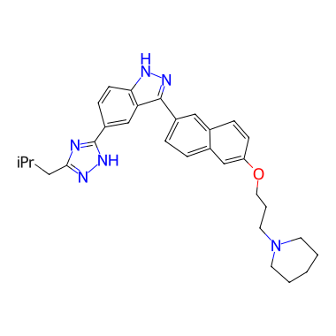 CC(C)Cc1n[nH]c(-c2ccc3[nH]nc(-c4ccc5cc(OCCCN6CCCCC6)ccc5c4)c3c2)n1